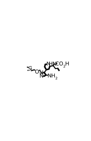 C=CCC(NC(=O)O)c1cc(-c2c(N)cnn2COCC[Si](C)(C)C)ccn1